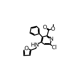 COC(=O)c1nc(Cl)cc(NCc2ccco2)c1-c1ccccc1